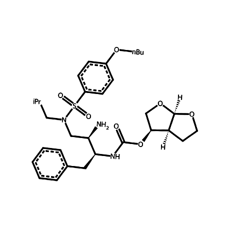 CCCCOc1ccc(S(=O)(=O)N(CC(C)C)C[C@@H](N)[C@H](Cc2ccccc2)NC(=O)O[C@H]2CO[C@H]3OCC[C@H]32)cc1